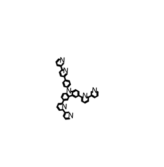 c1cncc(-c2ccc(-c3ccc(-n4c5ccc(-c6cccc(-c7cccnc7)n6)cc5c5cc(-c6cccc(-c7cccnc7)n6)ccc54)cc3)cn2)c1